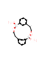 OB1OCCc2cccc(c2)B(O)OCCc2cccc1c2